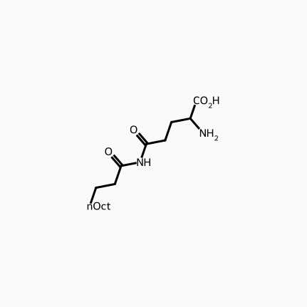 CCCCCCCCCCC(=O)NC(=O)CCC(N)C(=O)O